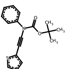 CC(C)(C)OC(=O)N(C#Cc1cccs1)c1ccccc1